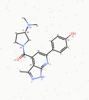 Cc1n[nH]c2nc(-c3ccc(O)cc3)cc(C(=O)N3CC[C@@H](N(C)C)C3)c12